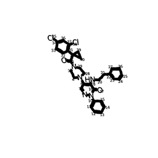 O=C(N1CCN(c2cnn(-c3ccccc3)c(=O)c2NCCc2ccccc2)CC1)C1(c2ccc(Cl)cc2Cl)CC1